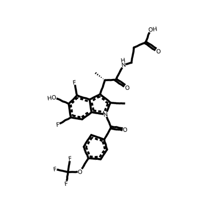 Cc1c([C@H](C)C(=O)NCCC(=O)O)c2c(F)c(O)c(F)cc2n1C(=O)c1ccc(OC(F)(F)F)cc1